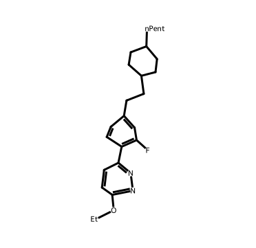 CCCCCC1CCC(CCc2ccc(-c3ccc(OCC)nn3)c(F)c2)CC1